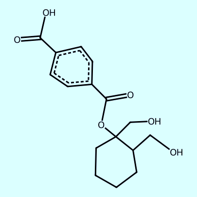 O=C(O)c1ccc(C(=O)OC2(CO)CCCCC2CO)cc1